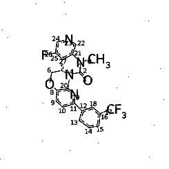 CN(C(=O)N1CCOc2ccc(-c3cccc(C(F)(F)F)c3)nc21)c1cncc(F)c1